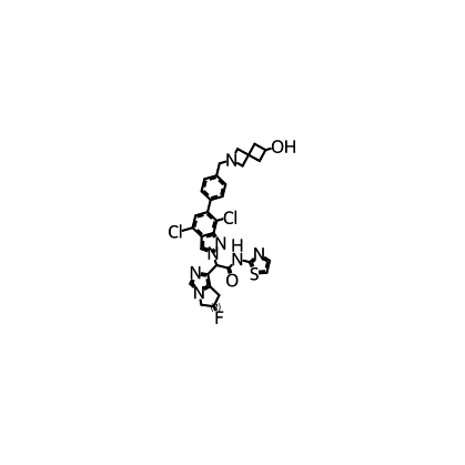 O=C(Nc1nccs1)C(c1ncn2c1C[C@@H](F)C2)n1cc2c(Cl)cc(-c3ccc(CN4CC5(CC(O)C5)C4)cc3)c(Cl)c2n1